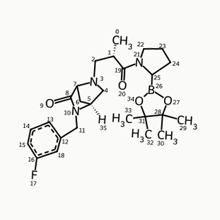 C[C@@H](CN1C[C@@H]2CC1C(=O)N2Cc1cccc(F)c1)C(=O)N1CCCC1B1OC(C)(C)C(C)(C)O1